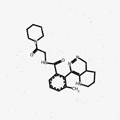 Cc1cccc(C(=O)NCC(=O)N2CCCCC2)c1C1=C2NCCCC2CN=N1